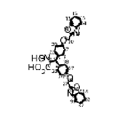 O=C(O)C(=NO)C(c1ccc(OCc2nc3ccccc3o2)cc1)c1ccc(OCc2nc3ccccc3o2)cc1